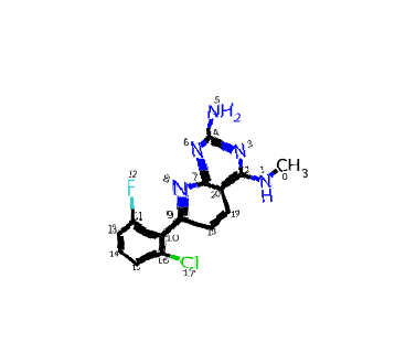 CNc1nc(N)nc2nc(-c3c(F)cccc3Cl)ccc12